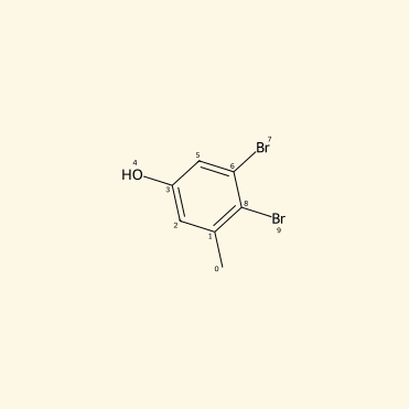 Cc1cc(O)cc(Br)c1Br